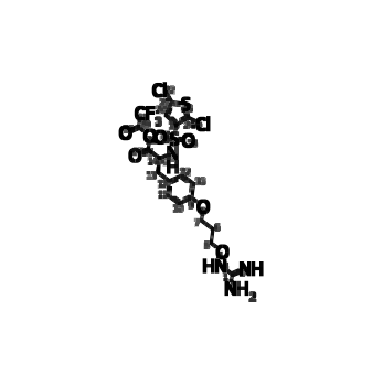 N=C(N)NOCCCOc1ccc(C[C@H](NS(=O)(=O)c2cc(Cl)sc2Cl)C(=O)OC(=O)C(F)(F)F)cc1